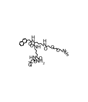 COC(C)(C)CC(=O)NC(CCCCNC(=O)C(CCCCNC(=O)CCOCCOCCN=C=S)NC(=O)Cc1ccc2ccccc2c1)C(N)=O